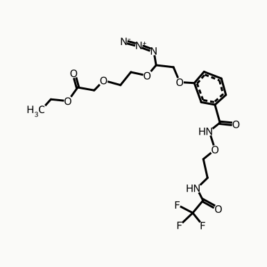 CCOC(=O)COCCOC(COc1cccc(C(=O)NOCCNC(=O)C(F)(F)F)c1)N=[N+]=[N-]